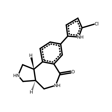 O=C1NC[C@H]2CNC[C@@H]2c2ccc(-c3ccc(Cl)[nH]3)cc21